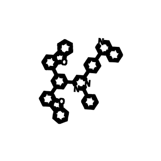 c1ccc(-c2nc(-c3ccc(-c4cncc5ccccc45)cc3)cc(-c3cc(-c4cccc5c4oc4ccccc45)cc(-c4cccc5c4oc4ccccc45)c3)n2)cc1